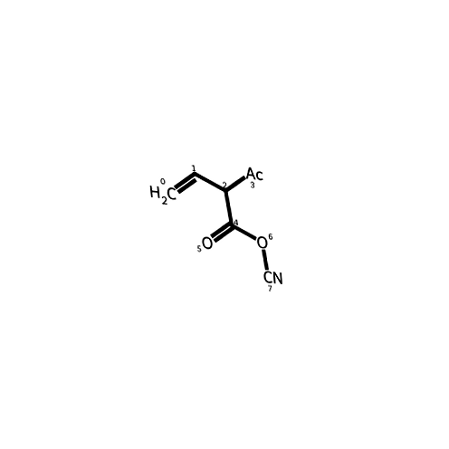 C=CC(C(C)=O)C(=O)OC#N